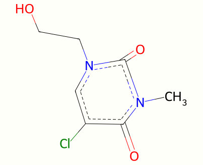 Cn1c(=O)c(Cl)cn(CCO)c1=O